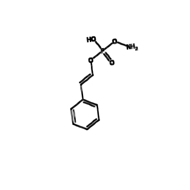 NOP(=O)(O)OC=Cc1ccccc1